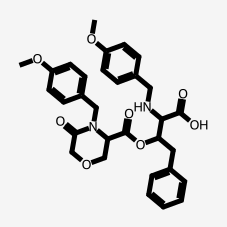 COc1ccc(CNC(C(=O)O)C(Cc2ccccc2)OC(=O)C2COCC(=O)N2Cc2ccc(OC)cc2)cc1